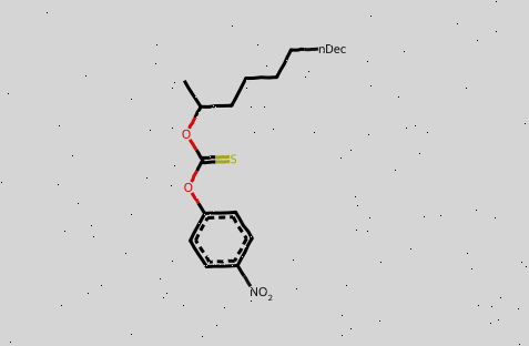 CCCCCCCCCCCCCCC(C)OC(=S)Oc1ccc([N+](=O)[O-])cc1